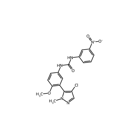 COc1ccc(NC(=O)Nc2cccc([N+](=O)[O-])c2)cc1-c1c(Cl)cnn1C